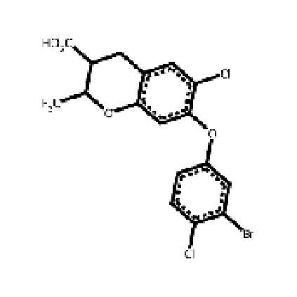 O=C(O)C1Cc2cc(Cl)c(Oc3ccc(Cl)c(Br)c3)cc2OC1C(F)(F)F